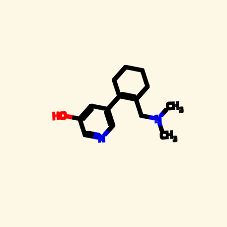 CN(C)CC1=C(c2cncc(O)c2)CCCC1